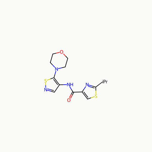 CC(C)c1nc(C(=O)Nc2cnsc2N2CCOCC2)cs1